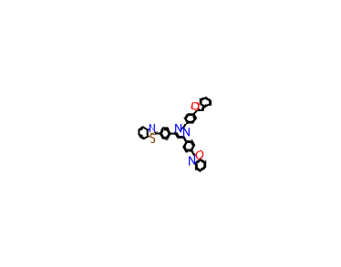 C1=CC2N=C(c3ccc(-c4cc(-c5ccc(-c6nc7ccccc7o6)cc5)nc(-c5ccc(-c6cc7ccccc7o6)cc5)n4)cc3)SC2C=C1